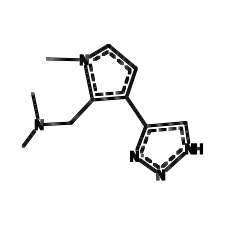 CN(C)Cc1c(-c2c[nH]nn2)ccn1C